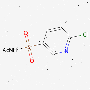 CC(=O)NS(=O)(=O)c1ccc(Cl)nc1